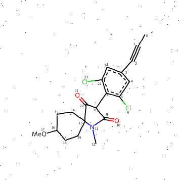 CC#Cc1cc(Cl)c(C2C(=O)N(C)C3(CCC(OC)CC3)C2=O)c(Cl)c1